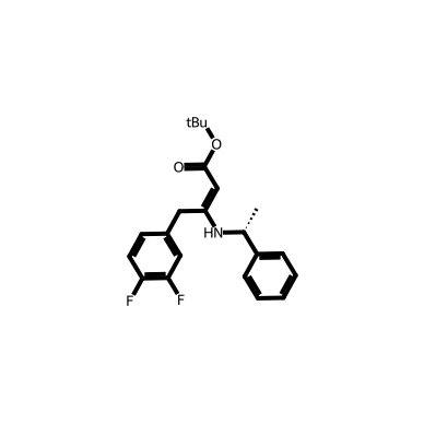 C[C@@H](NC(=CC(=O)OC(C)(C)C)Cc1ccc(F)c(F)c1)c1ccccc1